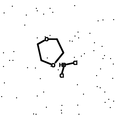 C1COCCO1.ClBCl